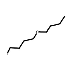 CCCCOCCCCI